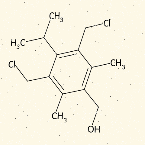 Cc1c(CO)c(C)c(CCl)c(C(C)C)c1CCl